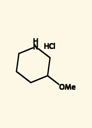 COC1CCCNC1.Cl